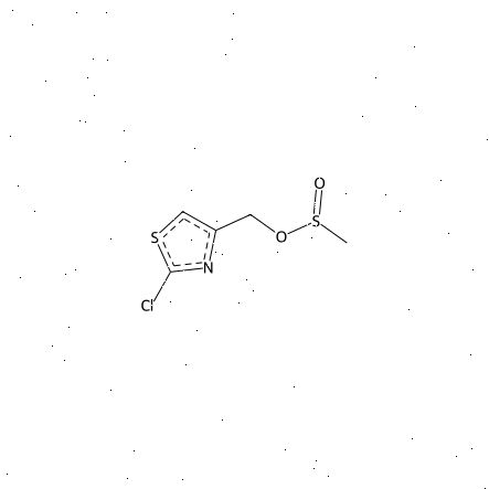 CS(=O)OCc1csc(Cl)n1